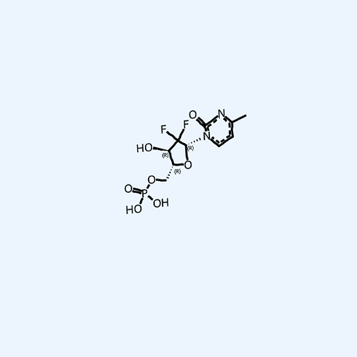 Cc1ccn([C@@H]2O[C@H](COP(=O)(O)O)[C@@H](O)C2(F)F)c(=O)n1